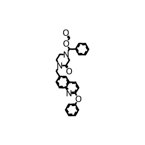 O=COC(c1ccccc1)N1CCN(Cc2ccc3nc(Oc4ccccc4)ccc3c2)C(=O)C1